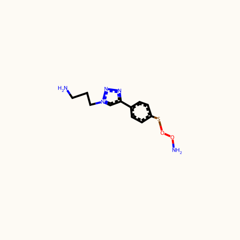 NCCCn1cc(-c2ccc(SOON)cc2)nn1